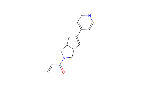 C=CC(=O)N1CC2C=C(c3ccncc3)CC2C1